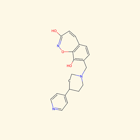 OC1=NOc2c(ccc(CN3CCC(c4ccncc4)CC3)c2O)C=C1